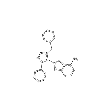 Nc1ncnc2sc(-c3c(-c4ccccc4)ncn3Cc3ccccc3)cc12